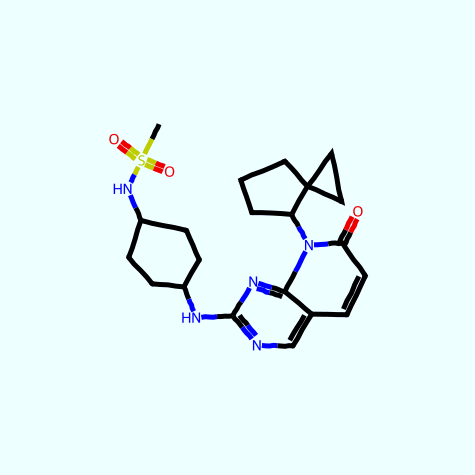 CS(=O)(=O)NC1CCC(Nc2ncc3ccc(=O)n(C4CCCC45CC5)c3n2)CC1